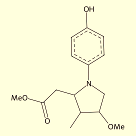 COC(=O)CC1C(C)C(OC)CN1c1ccc(O)cc1